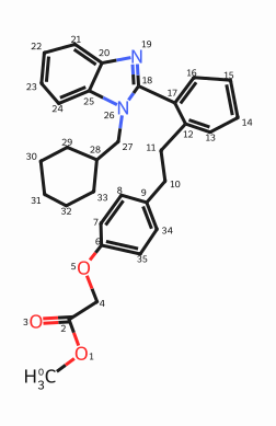 COC(=O)COc1ccc(CCc2ccccc2-c2nc3ccccc3n2CC2CCCCC2)cc1